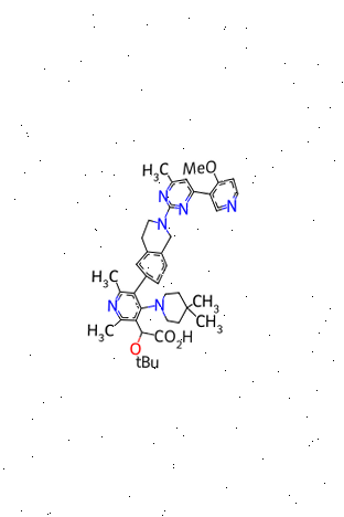 COc1ccncc1-c1cc(C)nc(N2CCc3cc(-c4c(C)nc(C)c(C(OC(C)(C)C)C(=O)O)c4N4CCC(C)(C)CC4)ccc3C2)n1